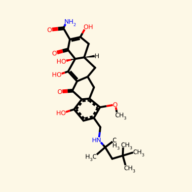 COc1c(CNC(C)(C)CC(C)(C)C)cc(O)c2c1CC1C[C@H]3CC(O)=C(C(N)=O)C(=O)[C@@]3(O)C(O)=C1C2=O